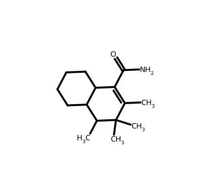 CC1=C(C(N)=O)C2CCCCC2C(C)C1(C)C